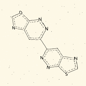 [c]1nc2cc(-c3cc4ncsc4nn3)nnc2o1